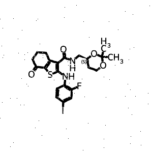 CC1(C)OCC[C@@H](CNC(=O)c2c(Nc3ccc(I)cc3F)sc3c2CCCC3=O)O1